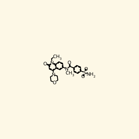 CCn1c(=O)cc(N2CCOCC2)c2cc(N(C)C(=O)c3ccc(S(N)(=O)=O)cc3)ccc21